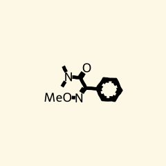 CON=C(C(=O)N(C)C)c1ccccc1